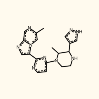 Cc1cn2c(-c3nccc(N4CCNC(c5cn[nH]c5)C4C)n3)cnc2cn1